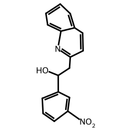 O=[N+]([O-])c1cccc(C(O)Cc2ccc3ccccc3n2)c1